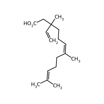 C=CC(C)(CCC=C(C)CCC=C(C)C)CC(=O)O